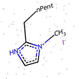 CCCCCCc1[nH]cc[n+]1C.[I-]